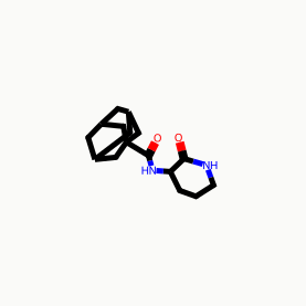 O=C1NCCCC1NC(=O)C12CC3CC(CC(C3)C1)C2